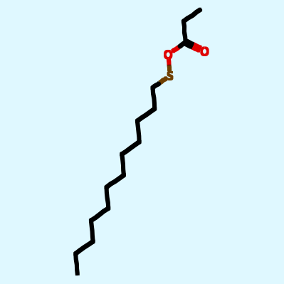 CCCCCCCCCCCCSOC(=O)CC